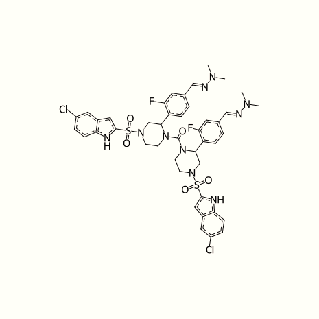 CN(C)N=Cc1ccc(C2CN(S(=O)(=O)c3cc4cc(Cl)ccc4[nH]3)CCN2C(=O)N2CCN(S(=O)(=O)c3cc4cc(Cl)ccc4[nH]3)CC2c2ccc(C=NN(C)C)cc2F)c(F)c1